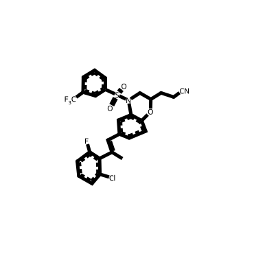 C/C(=C\c1ccc2c(c1)N(S(=O)(=O)c1cccc(C(F)(F)F)c1)CC(CCC#N)O2)c1c(F)cccc1Cl